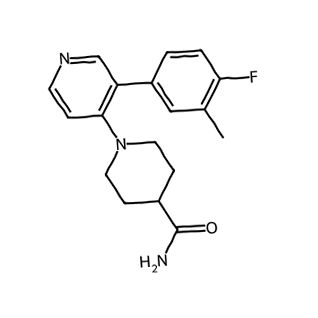 Cc1cc(-c2cnccc2N2CCC(C(N)=O)CC2)ccc1F